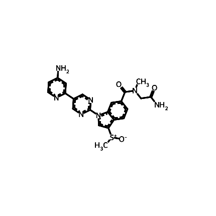 CN(CC(N)=O)C(=O)c1ccc2c([S+](C)[O-])cn(-c3ncc(-c4cc(N)ccn4)cn3)c2c1